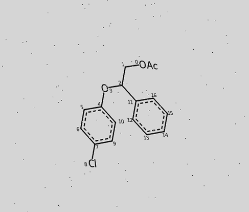 CC(=O)OCC(Oc1ccc(Cl)cc1)c1ccccc1